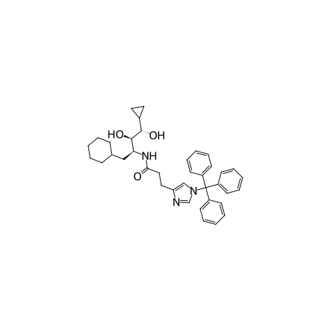 O=C(CCc1cn(C(c2ccccc2)(c2ccccc2)c2ccccc2)cn1)N[C@@H](CC1CCCCC1)[C@@H](O)[C@@H](O)C1CC1